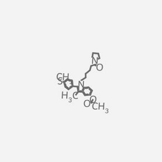 CSc1ccc(-c2c(C)c3cc(OC(C)=O)ccc3n2CCCCCC(=O)N2CCCC2)cc1